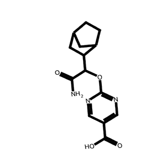 NC(=O)C(Oc1ncc(C(=O)O)cn1)C1CC2CCC1C2